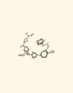 COc1cc(C(=O)N2CC(C(F)F)C2)ccc1Nc1ncc(-c2ccc(C#N)c(OC(C)Cn3cncn3)c2)cn1